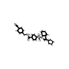 N#Cc1ccc(CNC(=O)c2ccc(S(=O)(=O)n3cc(C4CCCC4)c4ccccc43)cc2)cc1